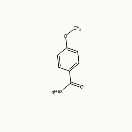 [CH2]CCCCCC(=O)c1ccc(OC(F)(F)F)cc1